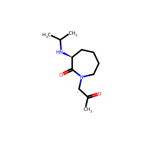 CC(=O)CN1CCCC[C@H](NC(C)C)C1=O